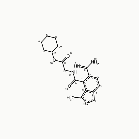 Cc1occ2ccc(C(=N)N)c(C(=O)NCC(=O)OC3CCCCC3)c12